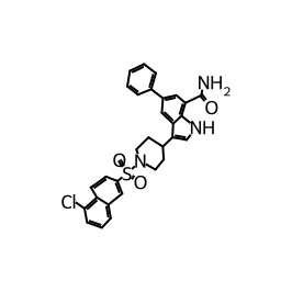 NC(=O)c1cc(-c2ccccc2)cc2c(C3CCN(S(=O)(=O)c4ccc5c(Cl)cccc5c4)CC3)c[nH]c12